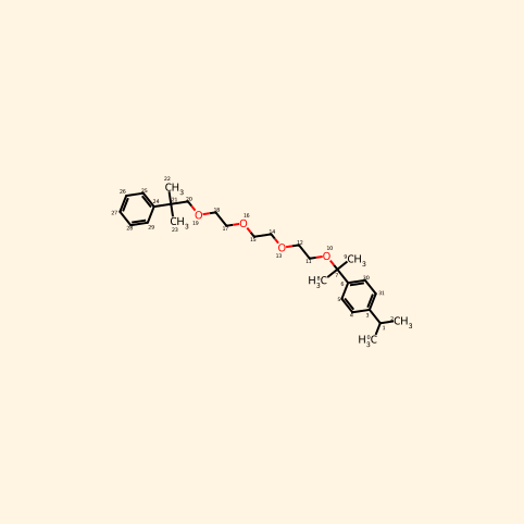 CC(C)c1ccc(C(C)(C)OCCOCCOCCOCC(C)(C)c2ccccc2)cc1